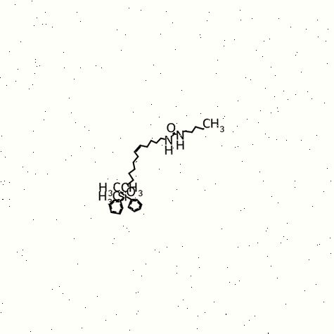 CCCCCNC(=O)NCCCC/C=C\CCCCCCO[Si](c1ccccc1)(c1ccccc1)C(C)(C)C